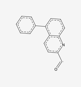 O=[C]c1ccc2c(-c3ccccc3)cccc2n1